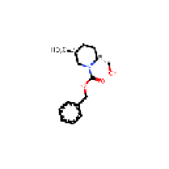 O=C(O)[C@H]1CC[C@H](CO)N(C(=O)OCc2ccccc2)C1